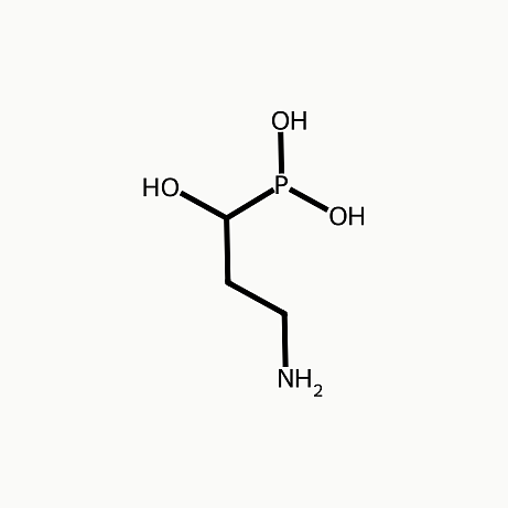 NCCC(O)P(O)O